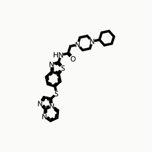 O=C(CN1CCN(C2CCCCC2)CC1)Nc1nc2ccc(Sc3cnc4ncccn34)cc2s1